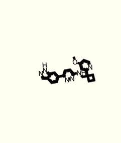 COc1ccnc(C2(CNc3ccc(-c4ccc5cn[nH]c5c4)nn3)CCC2)c1